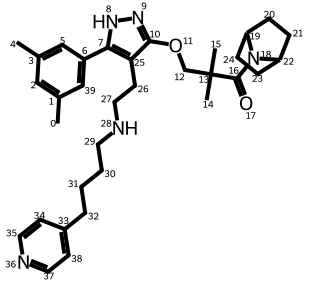 Cc1cc(C)cc(-c2[nH]nc(OCC(C)(C)C(=O)N3C4CCC3CC4)c2CCNCCCCc2ccncc2)c1